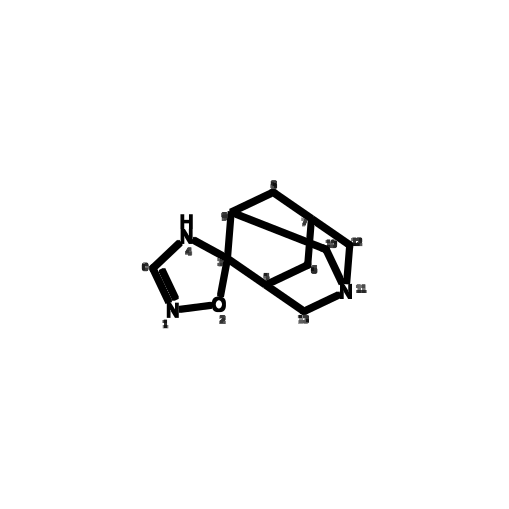 C1=NOC2(N1)C1CC3CC2CN(C3)C1